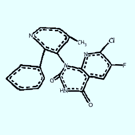 Cc1ccnc(-c2ccccc2)c1-n1c(=O)[nH]c(=O)c2cc(F)c(Cl)nc21